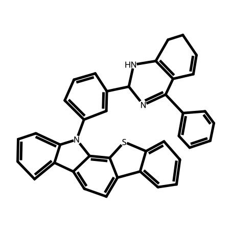 C1=CC2=C(CC1)NC(c1cccc(-n3c4ccccc4c4ccc5c6ccccc6sc5c43)c1)N=C2c1ccccc1